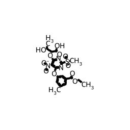 CCOC(=O)c1cc(C)cc(Oc2nc(S(C)(=O)=O)nc(OC(C(=O)O)C(C)O)c2[N+](=O)[O-])c1